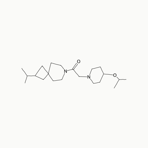 CC(C)OC1CCN(CC(=O)N2CCC3(CC2)CC(C(C)C)C3)CC1